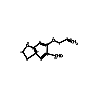 C=CCOc1cc2c(cc1C=O)CCO2